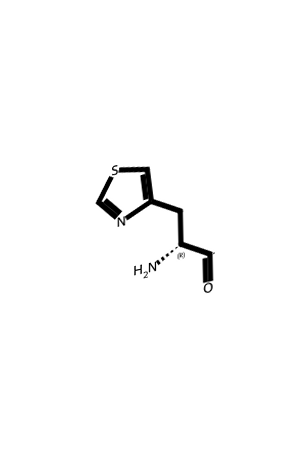 N[C@@H]([C]=O)Cc1cscn1